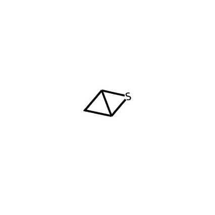 C1C2SC12